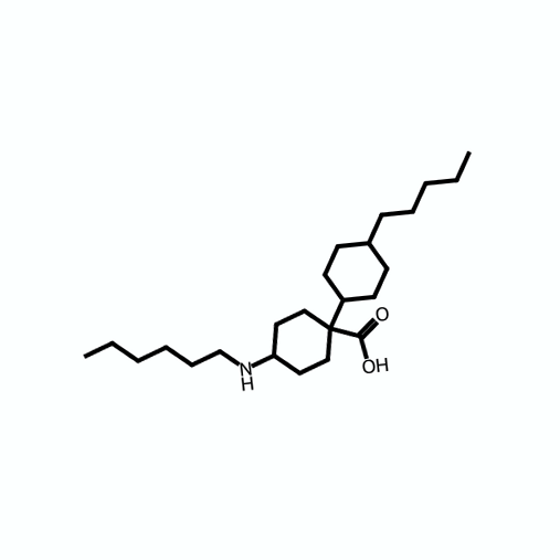 CCCCCCNC1CCC(C(=O)O)(C2CCC(CCCCC)CC2)CC1